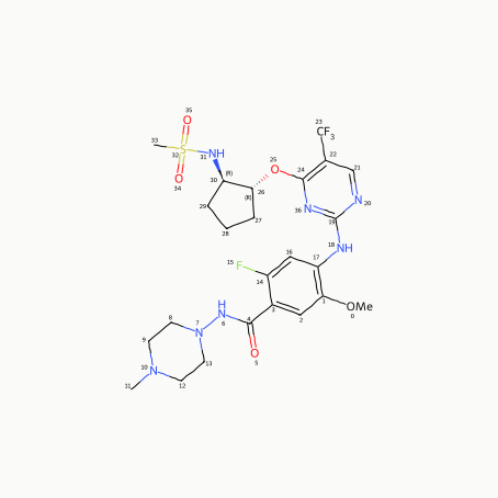 COc1cc(C(=O)NN2CCN(C)CC2)c(F)cc1Nc1ncc(C(F)(F)F)c(O[C@@H]2CCC[C@H]2NS(C)(=O)=O)n1